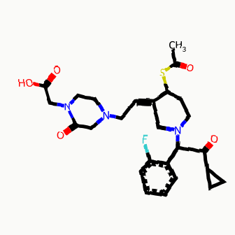 CC(=O)SC1CCN(C(C(=O)C2CC2)c2ccccc2F)C/C1=C\CN1CCN(CC(=O)O)C(=O)C1